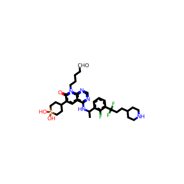 CC(Nc1ncnc2c1cc(C1CCS(O)(O)CC1)c(=O)n2CCCCC=O)c1cccc(C(F)(F)CCC2CCNCC2)c1F